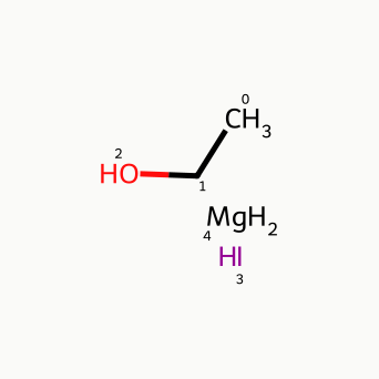 CCO.I.[MgH2]